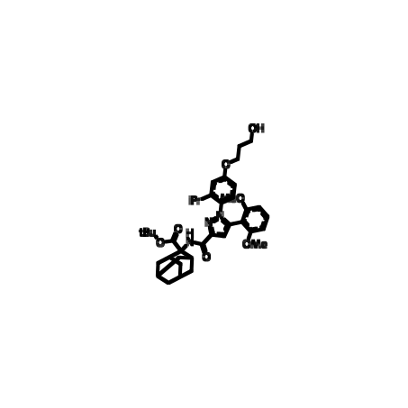 COc1cccc(OC)c1-c1cc(C(=O)NC2(C(=O)OC(C)(C)C)C3CC4CC(C3)CC2C4)nn1-c1ccc(OCCCO)cc1C(C)C